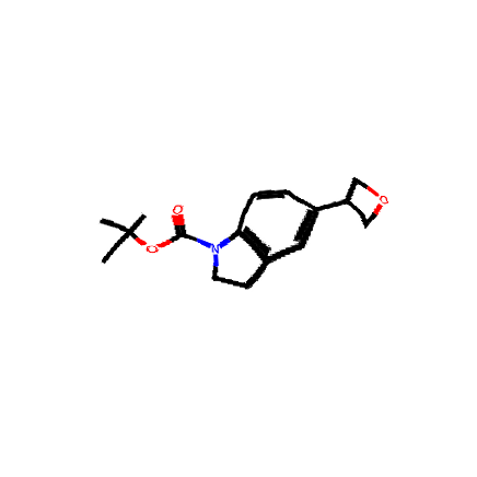 CC(C)(C)OC(=O)N1CCc2cc(C3COC3)ccc21